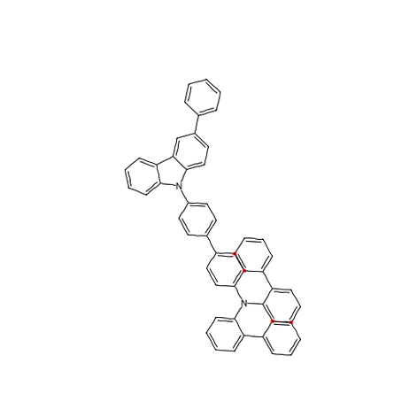 c1ccc(-c2ccc3c(c2)c2ccccc2n3-c2ccc(-c3ccc(N(c4ccccc4-c4ccccc4)c4ccccc4-c4ccccc4)cc3)cc2)cc1